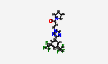 O=C(C=Cn1cnc(-c2cc(C(F)(F)F)cc(C(F)(F)F)c2)n1)N1CCCC1